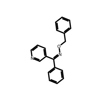 c1ccc(CON=C(c2ccccc2)c2cccnc2)cc1